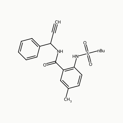 C#CC(NC(=O)c1cc(C)ccc1NS(=O)(=O)CCCC)c1ccccc1